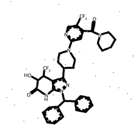 O=C1Nc2c(c(C3CCN(c4cc(C(=O)N5CCCCC5)c(C(F)(F)F)cn4)CC3)nn2C(c2ccccc2)c2ccccc2)C(C(F)(F)F)C1O